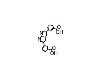 O=C(O)C1=CC(c2cnc3ncc(-c4cccc(C(=O)O)c4)cc3c2)=CCC1